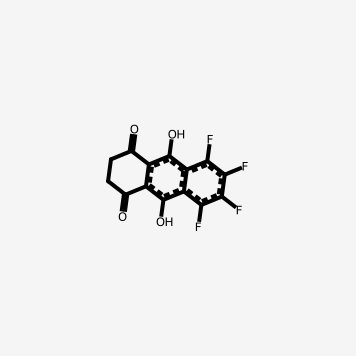 O=C1CCC(=O)c2c1c(O)c1c(F)c(F)c(F)c(F)c1c2O